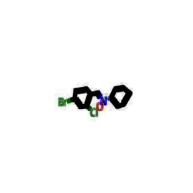 [O-][N+](=Cc1ccc(Br)cc1Cl)c1ccccc1